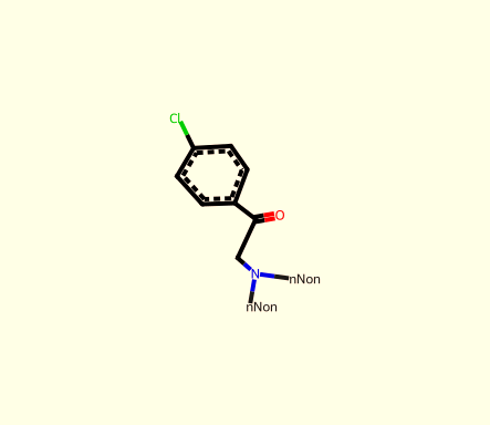 CCCCCCCCCN(CCCCCCCCC)CC(=O)c1ccc(Cl)cc1